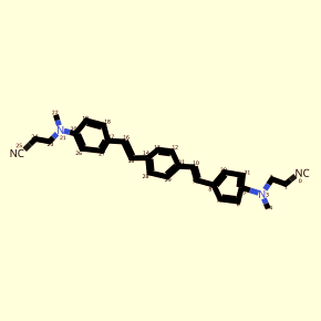 [C-]#[N+]CCN(C)c1ccc(/C=C/c2ccc(/C=C/c3ccc(N(C)CCC#N)cc3)cc2)cc1